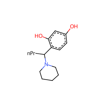 [CH2]CCC(c1ccc(O)cc1O)N1CCCCC1